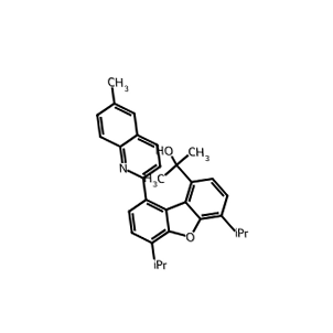 Cc1ccc2nc(-c3ccc(C(C)C)c4oc5c(C(C)C)ccc(C(C)(C)O)c5c34)ccc2c1